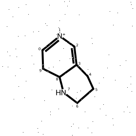 C1=[N+]C=C2CCCNC2C1